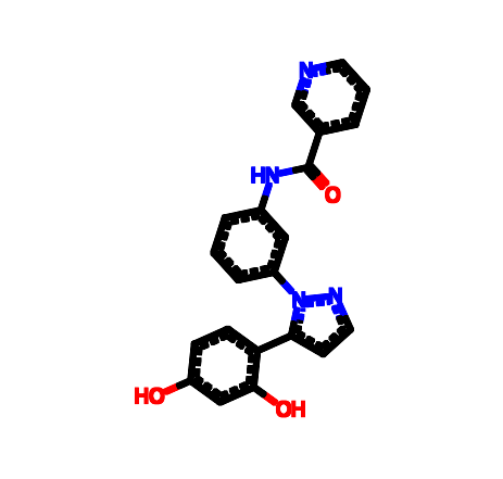 O=C(Nc1cccc(-n2nccc2-c2ccc(O)cc2O)c1)c1cccnc1